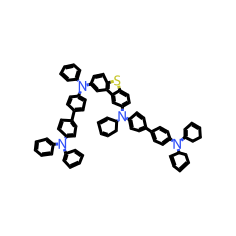 C1=CCCC(N(c2ccc(-c3ccc(N(c4ccc5sc6ccc(N(c7ccccc7)c7ccc(-c8ccc(N(c9ccccc9)c9ccccc9)cc8)cc7)cc6c5c4)C4C=CC=CC4)cc3)cc2)C2C=CC=CC2)=C1